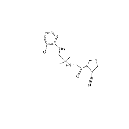 CC(C)(CNc1ncccc1Cl)NCC(=O)N1CCCC1C#N